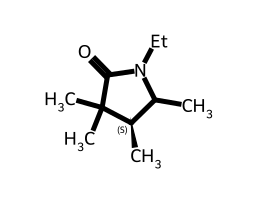 CCN1C(=O)C(C)(C)[C@H](C)C1C